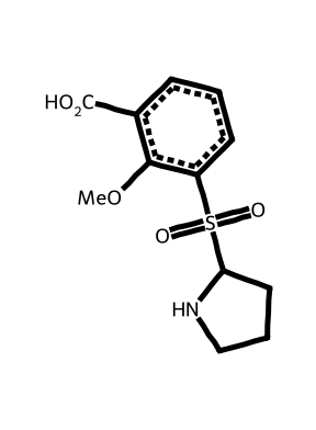 COc1c(C(=O)O)cccc1S(=O)(=O)C1CCCN1